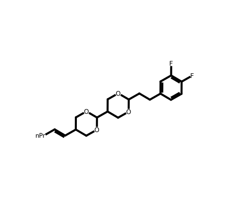 CCC/C=C/C1COC(C2COC(CCc3ccc(F)c(F)c3)OC2)OC1